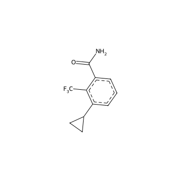 NC(=O)c1cccc(C2CC2)c1C(F)(F)F